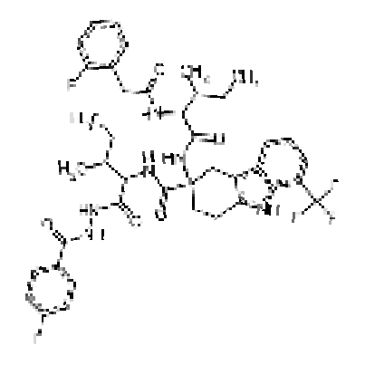 CCC(C)[C@H](NC(=O)Cc1ccccc1F)C(=O)N[C@]1(C(=O)NC(C(=O)NNC(=O)c2ccc(F)cc2)[C@@H](C)CC)CCc2[nH]c3c(C(F)(F)F)cccc3c2C1